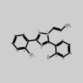 CC=Cn1nc(-c2ccccc2C(F)(F)F)nc1-c1ccccc1Cl